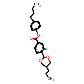 CCCCc1ccc(OC(=O)c2ccc(C3OCC(CCC)CO3)c(F)c2)cc1